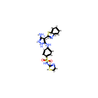 Nc1n[nH]c(Nc2ccc(S(=O)(=O)Nc3nccs3)cc2)c1-c1nc2ccccc2s1